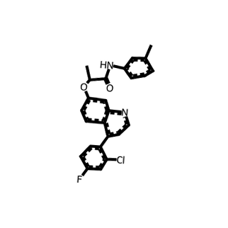 Cc1cccc(NC(=O)C(C)Oc2ccc3c(-c4ccc(F)cc4Cl)ccnc3c2)c1